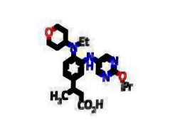 CCN(c1ccc(C(C)CC(=O)O)cc1Nc1cnc(OC(C)C)nc1)C1CCOCC1